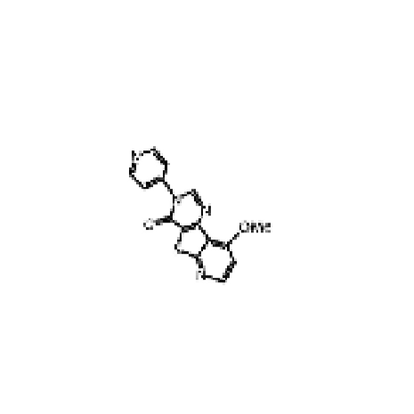 COc1ccnc2sc3c(=O)n(-c4ccncc4)cnc3c12